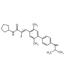 Cc1cc(-c2ccc(NC(C)C)cc2)c(C)cc1/C=C(\F)C(=O)NC1CCCC1